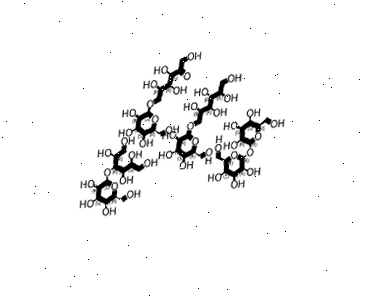 O=C(CO)[C@@H](O)[C@H](O)[C@H](O)CO[C@H]1O[C@H](CO)[C@@H](O)[C@H](O)[C@H]1O.OC[C@@H](O)[C@@H](O)[C@H](O)[C@H](O)COC1O[C@H](CO)[C@@H](O)[C@H](O)[C@H]1O.OC[C@@H](O)[C@@H](O[C@@H]1O[C@H](CO)[C@H](O)[C@H](O)[C@H]1O)[C@H](O)[C@@H](O)CO.OC[C@H]1O[C@H](O[C@H]2O[C@H](CO)[C@@H](O)[C@H](O)[C@H]2O)[C@H](O)[C@@H](O)[C@@H]1O